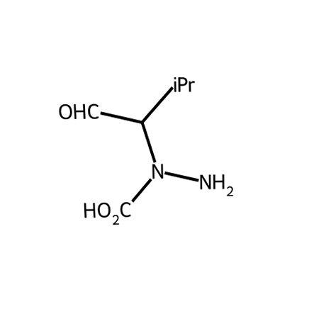 CC(C)C(C=O)N(N)C(=O)O